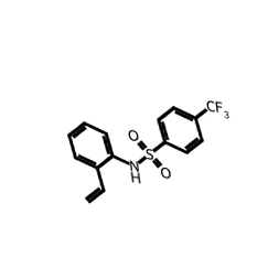 C=Cc1ccccc1NS(=O)(=O)c1ccc(C(F)(F)F)cc1